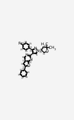 CC1(C)C[C@@H](n2cc(-c3ncc4cc(-c5ccccc5)oc4n3)c(-c3ccc(F)cc3)n2)CO1